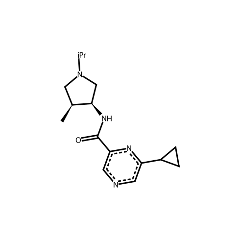 CC(C)N1C[C@H](C)[C@H](NC(=O)c2cncc(C3CC3)n2)C1